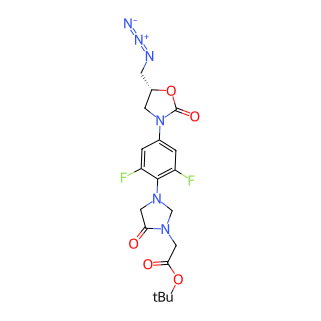 CC(C)(C)OC(=O)CN1CN(c2c(F)cc(N3C[C@H](CN=[N+]=[N-])OC3=O)cc2F)CC1=O